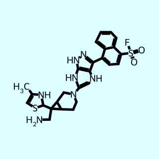 CC1=CSC(C2(CN)C3CCN(C4=CNc5c(-c6ccc(S(=O)(=O)F)c7ccccc67)n[nH]c5N4)CC32)N1